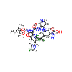 CC(C)(C)OC(=O)Nc1oc2cc(CN3CC(F)C3)cnc2c1C(=O)Nc1cnccc1N1C[C@@H](NC(=O)O)C[C@@H](C(F)(F)F)C1